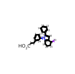 O=C(O)CCc1cccc(-n2c(-c3ccccc3)cc3c2CCCC3I)c1